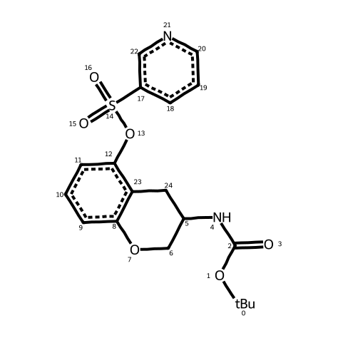 CC(C)(C)OC(=O)NC1COc2cccc(OS(=O)(=O)c3cccnc3)c2C1